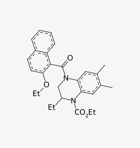 CCOC(=O)N1c2cc(C)c(C)cc2N(C(=O)c2c(OCC)ccc3ccccc23)CC1CC